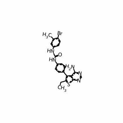 CCc1sc2ncnc(N)c2c1-c1ccc(NC(=O)Nc2ccc(Br)c(C)c2)cc1